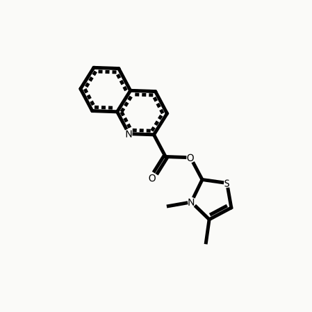 CC1=CSC(OC(=O)c2ccc3ccccc3n2)N1C